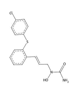 NC(=O)N(O)CC=Cc1ccccc1Sc1ccc(Cl)cc1